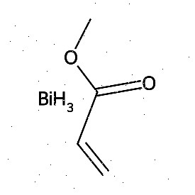 C=CC(=O)OC.[BiH3]